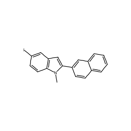 Cn1c(-c2ccc3ccccc3c2)cc2cc(I)ccc21